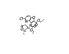 CCOC(=O)c1oc2ccc(Cl)nc2c1N(C(=O)OCC)[C@@H]1C[C@H](CC)O[C@H](C)C1